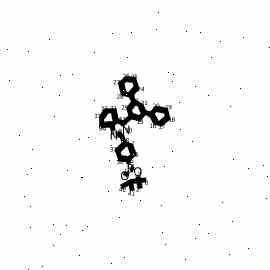 CC1(C)OB(c2ccc(-c3nc(-c4cc(-c5ccccc5)cc(-c5ccccc5)c4)c4ccccc4n3)cc2)OC1(C)C